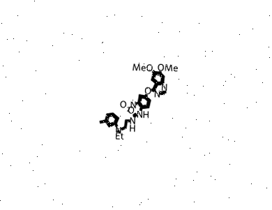 CCN(CCNC(=O)Nc1ccc(Oc2ncnc3cc(OC)c(OC)cc23)cc1[N+](=O)[O-])c1cccc(C)c1